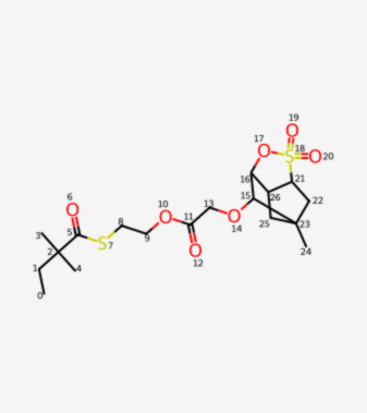 CCC(C)(C)C(=O)SCCOC(=O)COC1C2OS(=O)(=O)C3CC1(C)CC23